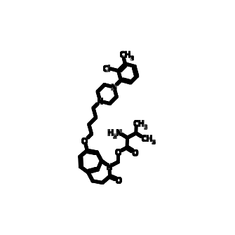 Cc1cccc(N2CCN(CCCCOC3=CC4C=C(C=C3)CCC(=O)N4COC(=O)C(N)C(C)C)CC2)c1Cl